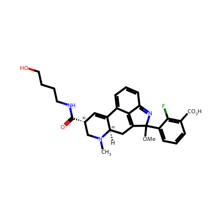 COC1(c2cccc(C(=O)O)c2F)N=c2cccc3c2=C1C[C@@H]1C3=C[C@@H](C(=O)NCCCCO)CN1C